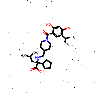 CC(C)C[C@](NCC1CCN(C(=O)c2cc(C(C)C)c(O)cc2O)CC1)(C(=O)O)C1CCCC1